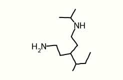 CCC(C)C(CCN)CCNC(C)C